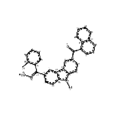 CCn1c2ccc(C(=O)c3cccc4ccccc34)cc2c2cc(/C(=N/OC(C)=O)c3ccccc3C)ccc21